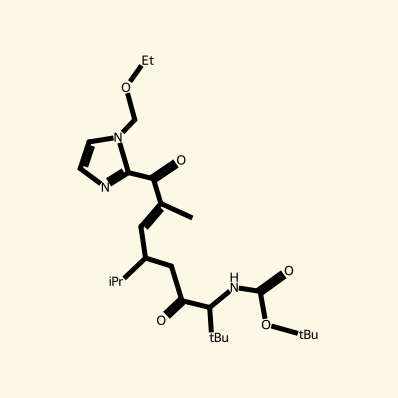 CCOCn1ccnc1C(=O)C(C)=CC(CC(=O)C(NC(=O)OC(C)(C)C)C(C)(C)C)C(C)C